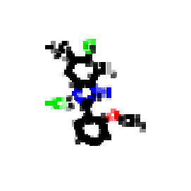 COc1ccccc1-c1nc(CC(C)CCl)c(C)[nH]1.Cl